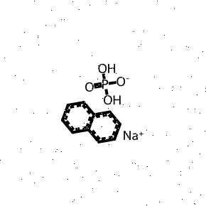 O=P([O-])(O)O.[Na+].c1ccc2ccccc2c1